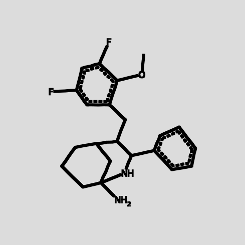 COc1c(F)cc(F)cc1CC1C2CCCC(N)(C2)NC1c1ccccc1